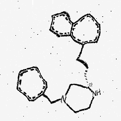 c1ccc(CN2CCN[C@@H](CCc3cccc4ccccc34)C2)cc1